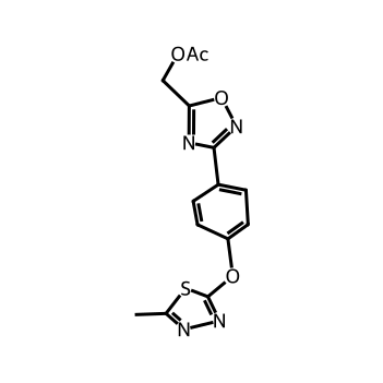 CC(=O)OCc1nc(-c2ccc(Oc3nnc(C)s3)cc2)no1